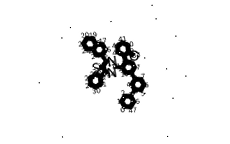 c1ccc(-c2cccc(-c3cc(-c4nc(-c5ccc6ccccc6c5)c5sc6ccccc6c5n4)c4c(c3)oc3ccccc34)c2)cc1